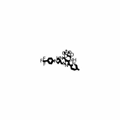 Cc1ccc(-c2nn3c(c2NC(=O)CS(C)(=O)=O)C(=O)NC2(CN(c4ccc(C(F)(F)F)cc4)C2)C3)nc1